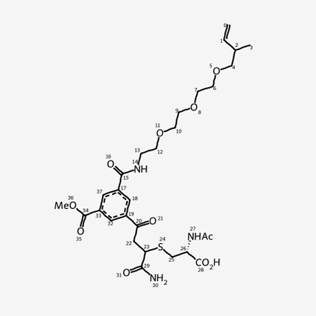 C=CC(C)COCCOCCOCCNC(=O)c1cc(C(=O)CC(SC[C@H](NC(C)=O)C(=O)O)C(N)=O)cc(C(=O)OC)c1